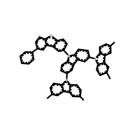 Cc1ccc2c(c1)c1cc(C)ccc1n2-c1ccc2c(c1)c1cc(-n3c4ccc(C)cc4c4cc(C)ccc43)ccc1n2-c1ccc2oc3ccc(-c4ccccc4)cc3c2c1